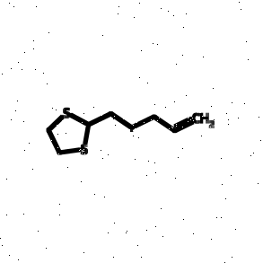 C=CC[CH]CC1SCCS1